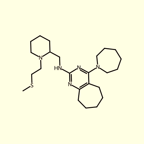 CSCCN1CCCCC1CNc1nc2c(c(N3CCCCCC3)n1)CCCCC2